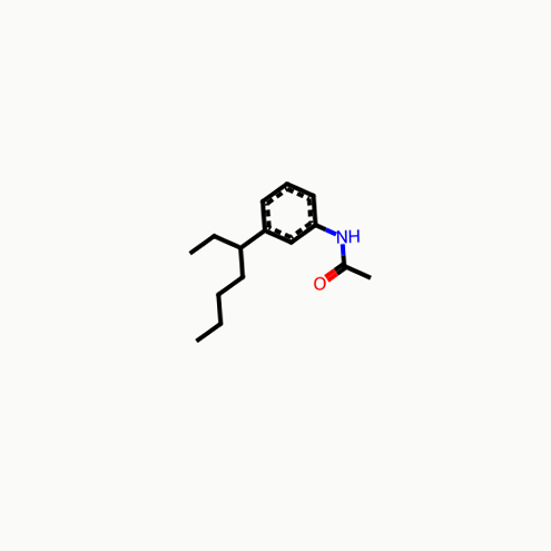 CCCCC(CC)c1cccc(NC(C)=O)c1